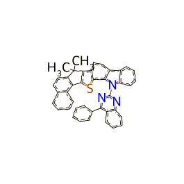 CC1(C)c2ccc3ccccc3c2-c2sc3c(ccc4c5ccccc5n(-c5nc(-c6ccccc6)c6ccccc6n5)c43)c21